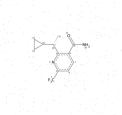 C[C@H](c1nc(C(F)(F)F)ccc1C(N)=O)C1CC1